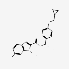 C[C@@H](NC(=O)c1cc2ccc(F)cc2n1C)c1ccc(OCC2CC2)cn1